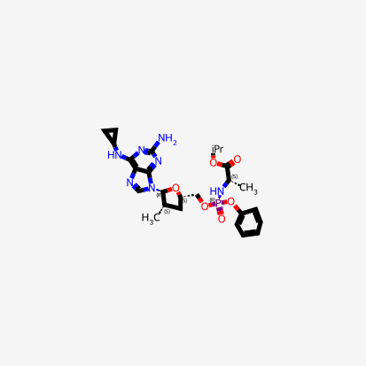 CC(C)OC(=O)[C@H](C)N[P@@](=O)(OC[C@@H]1C[C@H](C)[C@H](n2cnc3c(NC4CC4)nc(N)nc32)O1)Oc1ccccc1